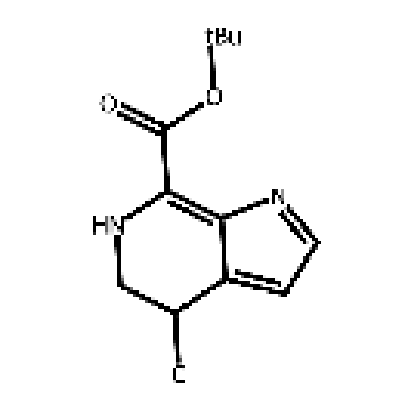 CC(C)(C)OC(=O)C1=C2N=CC=C2C(Cl)CN1